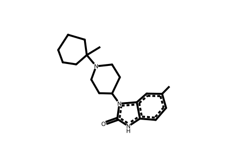 Cc1ccc2[nH]c(=O)n(C3CCN(C4(C)CCCCC4)CC3)c2c1